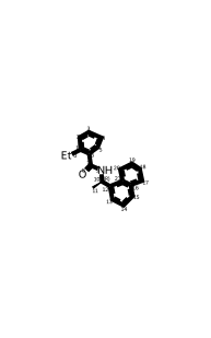 CCc1ccccc1C(=O)N[C@H](C)c1cccc2ccccc12